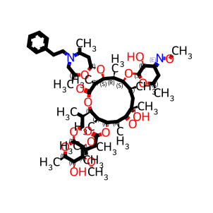 CO/N=C1\C[C@@H](C)O[C@@H](O[C@@H]2[C@@H](C)[C@H](O[C@H]3CC(C)N(CCc4ccccc4)C[C@H](C)O3)[C@@H](C)C(=O)O[C@H](C(C)CO[C@@H]3O[C@H](C)[C@@H](O)[C@@H](OC)[C@H]3OC)[C@H](C)[C@@H](OC(=O)CC(C)C)[C@@H](C)C(=O)[C@@](C)(O)C[C@@H]2C)[C@@H]1O